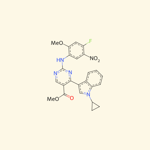 COC(=O)c1cnc(Nc2cc([N+](=O)[O-])c(F)cc2OC)nc1-c1cn(C2CC2)c2ccccc12